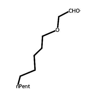 CCCCCCCCCCOC[C]=O